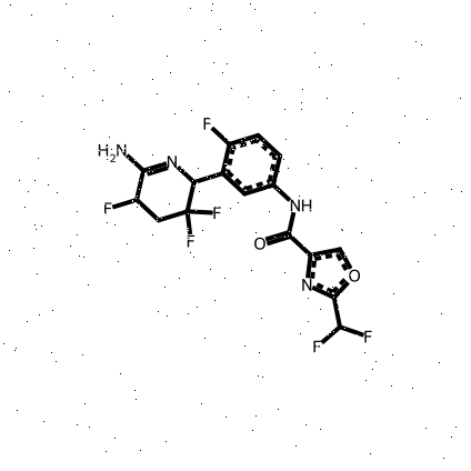 NC1=NC(c2cc(NC(=O)c3coc(C(F)F)n3)ccc2F)C(F)(F)CC1F